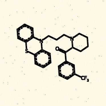 O=C(c1cccc(C(F)(F)F)c1)C1CCCCN1CCCN1c2ccccc2Sc2ccccc21